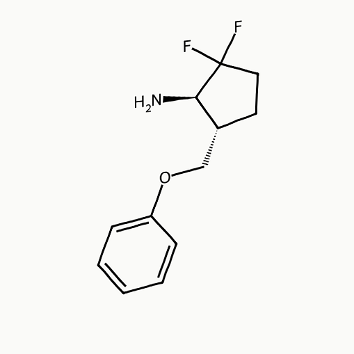 N[C@@H]1[C@@H](COc2ccccc2)CCC1(F)F